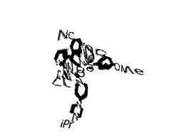 CCOc1ncccc1C1(NC(=O)N2CCC(N3CCN(C(C)C)CC3)CC2)C(=O)N(S(=O)(=O)c2ccc(OC)cc2OC)c2ccc(C#N)cc21